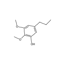 CCCc1cc(O)c(OC)c(OC)c1